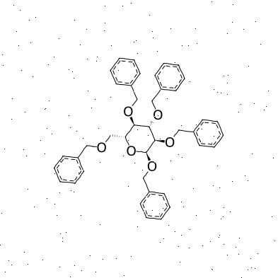 c1ccc(COC[C@H]2O[C@H](OCc3ccccc3)[C@H](OCc3ccccc3)[C@@H](OCc3ccccc3)[C@@H]2OCc2ccccc2)cc1